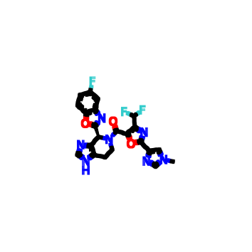 Cn1cnc(-c2nc(C(F)F)c(C(=O)N3CCc4[nH]cnc4[C@H]3c3nc4cc(F)ccc4o3)o2)c1